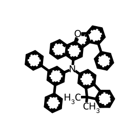 CC1(C)c2ccccc2-c2ccc(N(c3cc(-c4ccccc4)cc(-c4ccccc4)c3)c3cc4c(oc5cccc(-c6ccccc6)c54)c4ccccc34)cc21